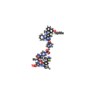 CCc1cccc2cc(OCOC)cc(-c3ncc4c(N5CCCCCC5)nc(OC[C@@]56CCCN5[C@H](COC(=O)N5CCN(c7cc([C@H](C(=O)N8C[C@H](O)C[C@H]8C(=O)N[C@@H](C)c8ccc(-c9scnc9C)cc8)C(C)C)on7)CC5)CC6)nc4c3F)c12